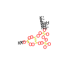 O=S(=O)([O-])OOS(=O)(=O)[O-].O=S([O-])S(=O)[O-].O=S([O-])[O-].[K+].[K+].[K+].[K+].[Na+].[Na+].[NaH]